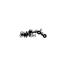 O=C(O)c1cnn(-c2nc(O)c3c(cnn3CCCOc3ccc(OCc4ccccc4)c(F)c3)n2)c1